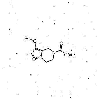 COC(=O)N1CCc2onc(OC(C)C)c2C1